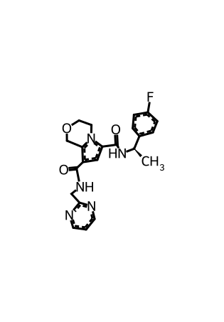 C[C@@H](NC(=O)c1cc(C(=O)NCc2ncccn2)c2n1CCOC2)c1ccc(F)cc1